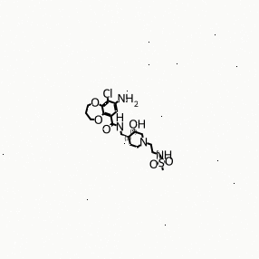 CS(=O)(=O)NCCN1CC[C@@H](CNC(=O)c2cc(N)c(Cl)c3c2OCCCO3)[C@H](O)C1